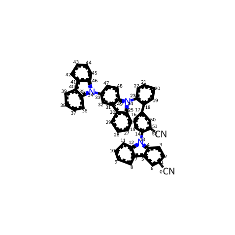 N#Cc1ccc2c(c1)c1ccccc1n2-c1ccc(-c2ccccc2-n2c3ccccc3c3cc(-n4c5ccccc5c5ccccc54)ccc32)cc1C#N